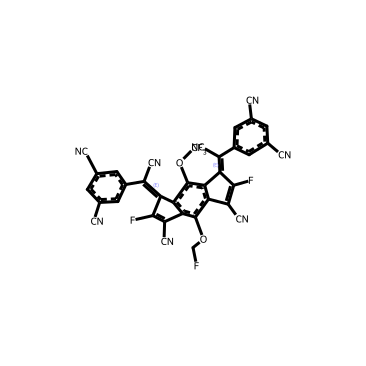 N#CC1=C(F)/C(=C(/C#N)c2cc(C#N)cc(C#N)c2)c2c(OC(F)(F)F)c3c(c(OCF)c21)C(C#N)=C(F)/C3=C(/C#N)c1cc(C#N)cc(C#N)c1